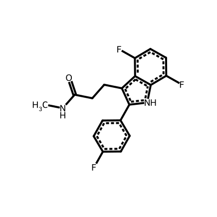 CNC(=O)CCc1c(-c2ccc(F)cc2)[nH]c2c(F)ccc(F)c12